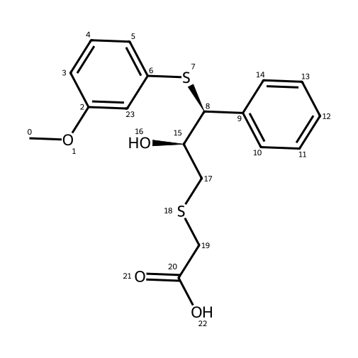 COc1cccc(S[C@@H](c2ccccc2)[C@H](O)CSCC(=O)O)c1